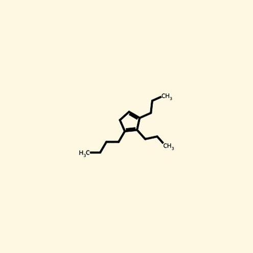 CCCCC1=C(CCC)C(CCC)=CC1